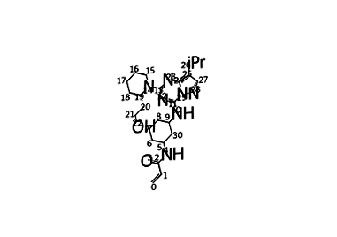 C=CC(=O)NC1CCCC(Nc2nc(N3CCCC[C@H]3CCO)nc3c(C(C)C)cnn23)C1